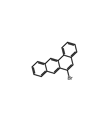 Brc1cc2ccccc2c2cc3ccccc3cc12